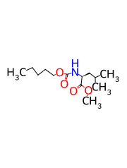 CCCCCOC(=O)N[C@@H](CC(C)C)C(=O)OC